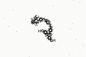 Cc1sc2c(c1C)C(c1ccc(CC3CC4(CCN(CCOc5ccc(C(=O)c6c(-c7ccc(O)cc7)sc7cc(O)ccc67)cc5)CC4)C3)cc1)=N[C@@H](C)c1nnc(C)n1-2